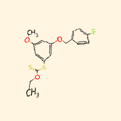 CCOC(=S)Sc1cc(OC)cc(OCc2ccc(F)cc2)c1